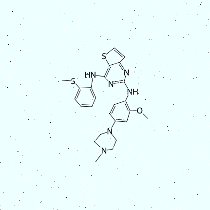 COc1cc(N2CCN(C)CC2)ccc1Nc1nc(Nc2ccccc2SC)c2sccc2n1